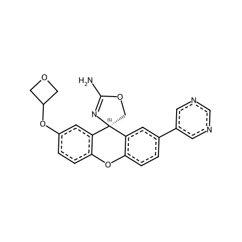 NC1=N[C@]2(CO1)c1cc(OC3COC3)ccc1Oc1ccc(-c3cncnc3)cc12